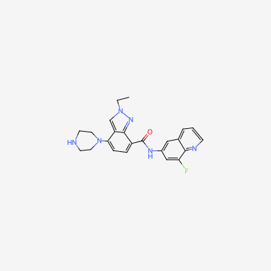 CCn1cc2c(N3CCNCC3)ccc(C(=O)Nc3cc(F)c4ncccc4c3)c2n1